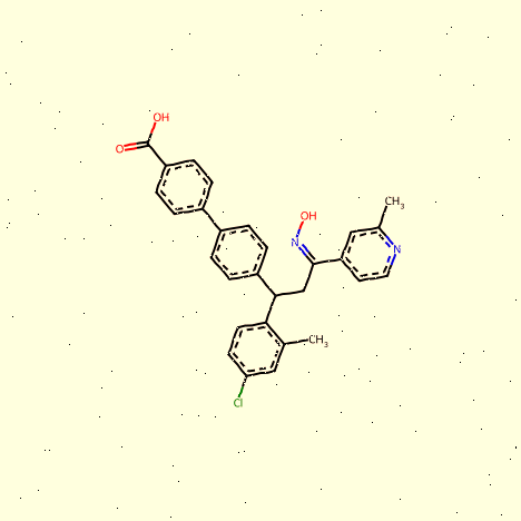 Cc1cc(C(CC(c2ccc(-c3ccc(C(=O)O)cc3)cc2)c2ccc(Cl)cc2C)=NO)ccn1